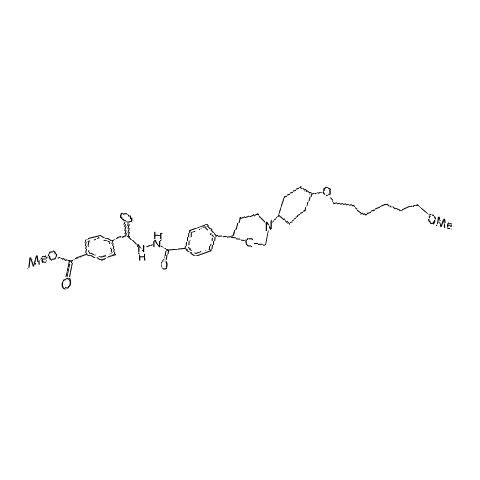 COCCCCCCOC1CCC(N2CCC(c3ccc(C(=O)NNC(=O)c4ccc(C(=O)OC)cc4)cc3)CC2)CC1